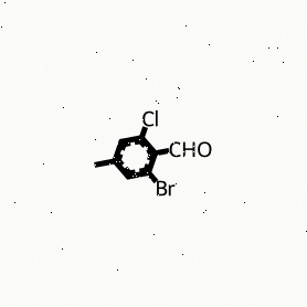 Cc1cc(Cl)c(C=O)c(Br)c1